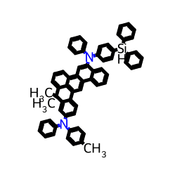 Cc1ccc(N(c2ccccc2)c2ccc3c(c2)C(C)(C)c2cccc4c2c-3cc2c3ccccc3c(N(c3ccccc3)c3ccc([SiH](c5ccccc5)c5ccccc5)cc3)cc42)cc1